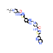 CN1CCC(C(=O)Nc2ncc(-c3ccc4cnc(CN5CCC(C(=O)Nc6ncc(-c7cnc8cnccc8c7)s6)CC5)nc4c3)s2)CC1